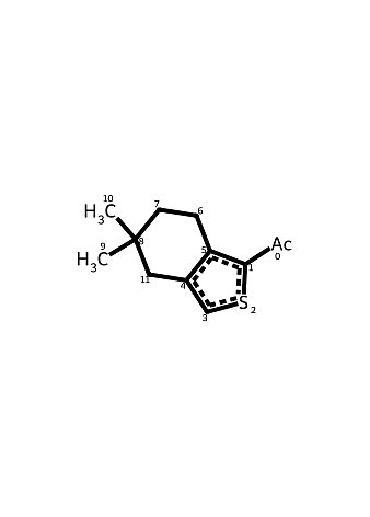 CC(=O)c1scc2c1CCC(C)(C)C2